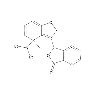 CCN(CC)C1(C)C=CC=C2OCC(C3OC(=O)c4ccccc43)=C21